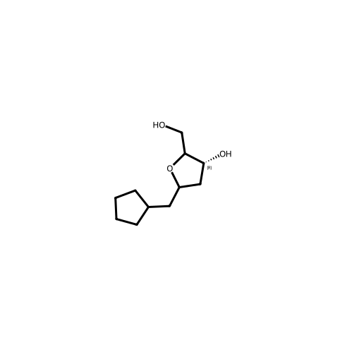 OCC1OC(CC2CCCC2)C[C@H]1O